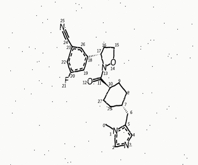 Cn1cncc1C[C@H]1CC[C@H](C(=O)N2OCC[C@H]2c2cc(F)cc(C#N)c2)CC1